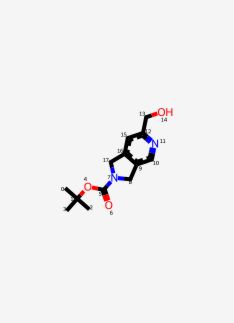 CC(C)(C)OC(=O)N1Cc2cnc(CO)cc2C1